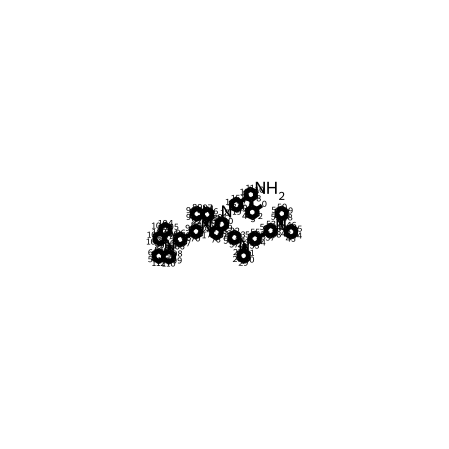 Cc1ccccc1-c1cc(N)ccc1-c1ccc(N)cc1.c1ccc(N(c2ccccc2)c2ccc(-c3ccc(N(c4ccccc4)c4ccccc4)cc3)cc2)cc1.c1ccc2c(N(c3ccc(-c4ccc(N(c5cccc6ccccc56)c5cccc6ccccc56)cc4)cc3)c3cccc4ccccc34)cccc2c1